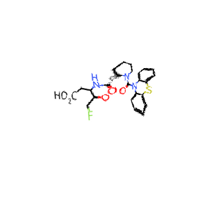 O=C(O)CC(NC(=O)[C@@H]1CCCCN1C(=O)N1c2ccccc2Sc2ccccc21)C(=O)CF